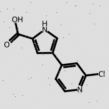 O=C(O)c1cc(-c2ccnc(Cl)c2)c[nH]1